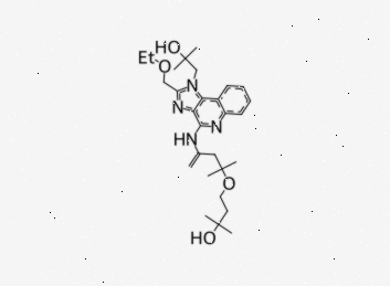 C=C(CC(C)(C)OCCC(C)(C)O)Nc1nc2ccccc2c2c1nc(COCC)n2CC(C)(C)O